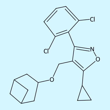 Clc1cccc(Cl)c1-c1noc(C2CC2)c1COC1CC2CC(C2)C1